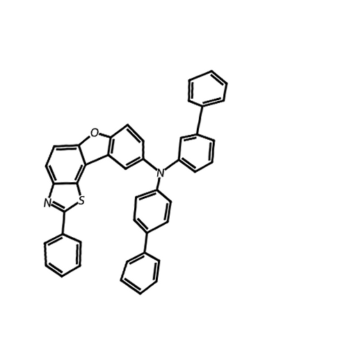 c1ccc(-c2ccc(N(c3cccc(-c4ccccc4)c3)c3ccc4oc5ccc6nc(-c7ccccc7)sc6c5c4c3)cc2)cc1